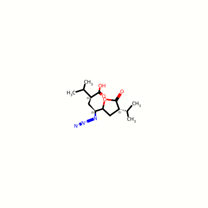 CC(C)[C@H](C[C@H](N=[N+]=[N-])C1C[C@@H](C(C)C)C(=O)O1)C(=O)O